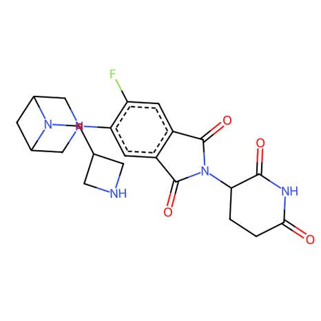 O=C1CCC(N2C(=O)c3cc(F)c(N4CC5CC(C4)N5CC4CNC4)cc3C2=O)C(=O)N1